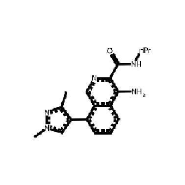 CCCNC(=O)c1ncc2c(-c3cn(C)nc3C)cccc2c1N